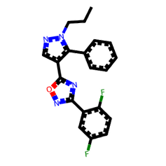 CCCn1ncc(-c2nc(-c3cc(F)ccc3F)no2)c1-c1ccccc1